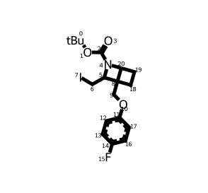 CC(C)(C)OC(=O)N1C(CI)C2(COc3ccc(F)cc3)CCC12